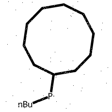 CCCC[P]C1CCCCCCCCC1